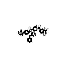 Cc1ncnn1-c1ccc(-n2c(=O)c3c(n4ncc(Cc5ccccc5)c24)CN(C(=O)c2ccc(Br)c(C(F)(F)F)c2)[C@H](C)C3)cc1